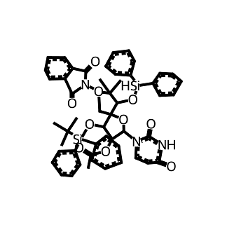 CC(=O)OC1C(n2ccc(=O)[nH]c2=O)OC(CON2C(=O)c3ccccc3C2=O)(C(O[SiH](c2ccccc2)c2ccccc2)C(C)(C)C)C1O[Si](c1ccccc1)(c1ccccc1)C(C)(C)C